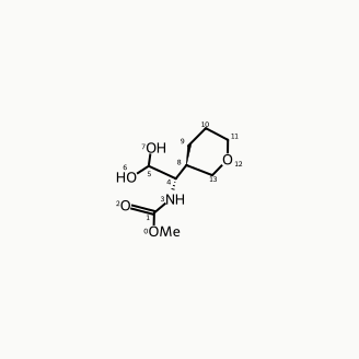 COC(=O)N[C@H](C(O)O)[C@H]1CCCOC1